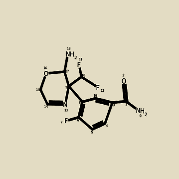 NC(=O)c1ccc(F)c(C2(C(F)F)N=CCOC2N)c1